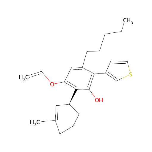 C=COc1cc(CCCCC)c(-c2ccsc2)c(O)c1[C@@H]1C=C(C)CCC1